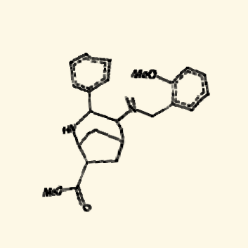 COC(=O)C1CC2CC1NC(c1ccccc1)C2NCc1ccccc1OC